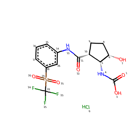 Cl.O=C(O)N[C@H]1[C@@H](O)CC[C@H]1C(=O)Nc1cccc(S(=O)(=O)C(F)(F)F)c1